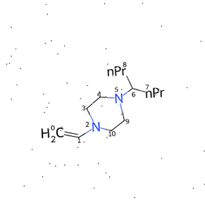 C=CN1CCN(C(CCC)CCC)CC1